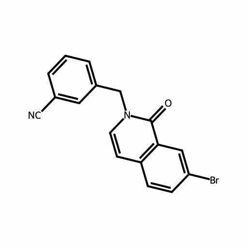 N#Cc1cccc(Cn2ccc3ccc(Br)cc3c2=O)c1